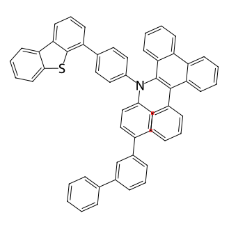 c1ccc(-c2cccc(-c3ccc(N(c4ccc(-c5cccc6c5sc5ccccc56)cc4)c4c(-c5ccccc5)c5ccccc5c5ccccc45)cc3)c2)cc1